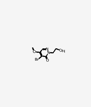 COc1cnn(CCO)c(=O)c1Br